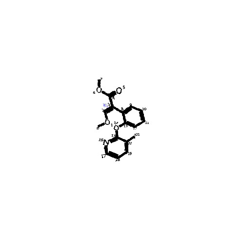 CO/C=C(/C(=O)OC)c1ccccc1Oc1ncccc1I